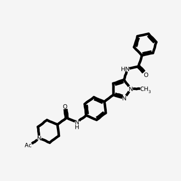 CC(=O)N1CCC(C(=O)Nc2ccc(-c3cc(NC(=O)c4ccccc4)n(C)n3)cc2)CC1